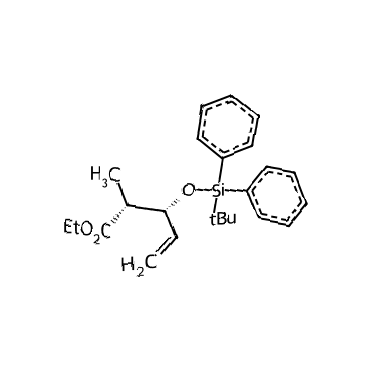 C=C[C@@H](O[Si](c1ccccc1)(c1ccccc1)C(C)(C)C)[C@@H](C)C(=O)OCC